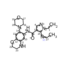 C=Cn1ncc(C(=O)Nc2cc3c(cc2N2CCOCC2)OCCN3)c1/N=C\C